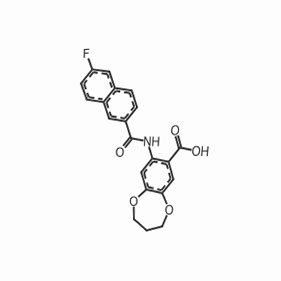 O=C(Nc1cc2c(cc1C(=O)O)OCCCO2)c1ccc2cc(F)ccc2c1